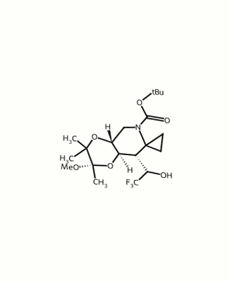 CO[C@@]1(C)O[C@@H]2[C@@H](C(O)C(F)(F)F)C3(CC3)N(C(=O)OC(C)(C)C)C[C@H]2OC1(C)C